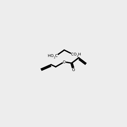 C=CCOC(=O)C=C.O=C(O)CC(=O)O